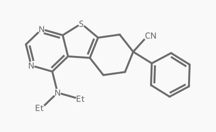 CCN(CC)c1ncnc2sc3c(c12)CCC(C#N)(c1ccccc1)C3